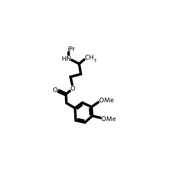 COc1ccc(CC(=O)OCCC(C)NC(C)C)cc1OC